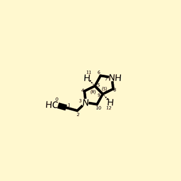 C#CCN1C[C@H]2CNC[C@H]2C1